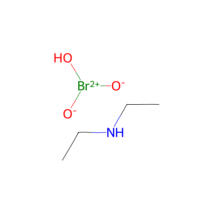 CCNCC.[O-][Br+2]([O-])O